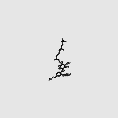 COc1cc(CCC(C)=O)ccc1OC(=O)NC(C(=O)OC/C=C(\C)CC/C=C(\C)CCC=C(C)C)C(C)C